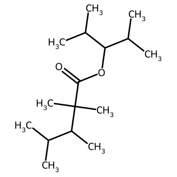 CC(C)C(OC(=O)C(C)(C)C(C)C(C)C)C(C)C